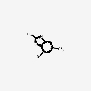 FC(F)(F)c1cc(Br)c2oc(S)nc2c1